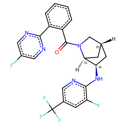 O=C(c1ccccc1-c1ncc(F)cn1)N1C[C@@H]2C[C@@H](Nc3ncc(C(F)(F)F)cc3F)[C@@H]1C2